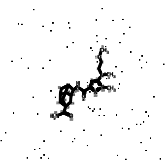 COCCN(C)c1cc(C(=O)NC2C3CC4CC2CC(C(N)=O)(C4)C3)nn1C